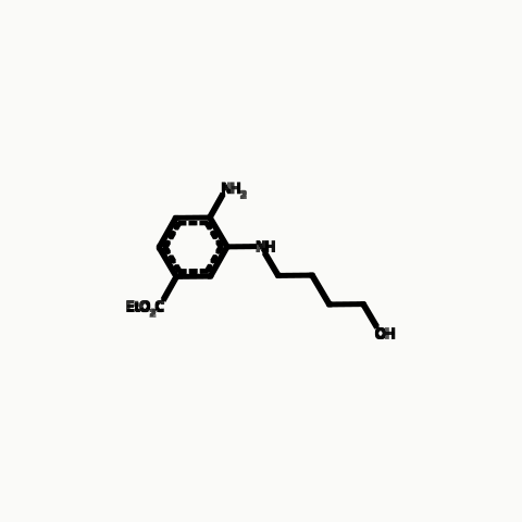 CCOC(=O)c1ccc(N)c(NCCCCO)c1